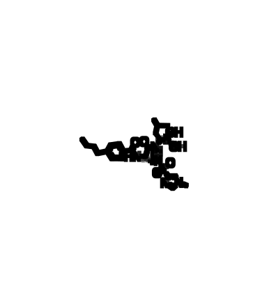 CCCCc1ccc(C(=O)N[C@@H](CNS(=O)(=O)c2cn(C)cn2)C(=O)N[C@@H](CC(C)C)B(O)O)cc1